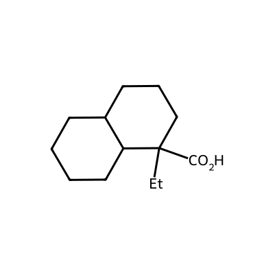 [CH2]CC1(C(=O)O)CCCC2CCCCC21